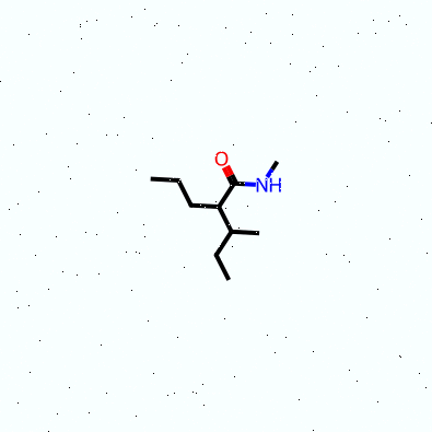 CCCC(C(=O)NC)C(C)CC